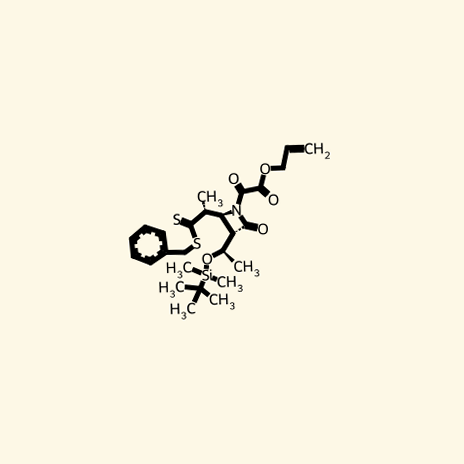 C=CCOC(=O)C(=O)N1C(=O)[C@H]([C@@H](C)O[Si](C)(C)C(C)(C)C)[C@H]1[C@@H](C)C(=S)SCc1ccccc1